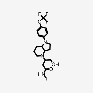 O=C(CC(CO)N1CCCC2C1CCN2c1ccc(OC(F)(F)F)cc1)NI